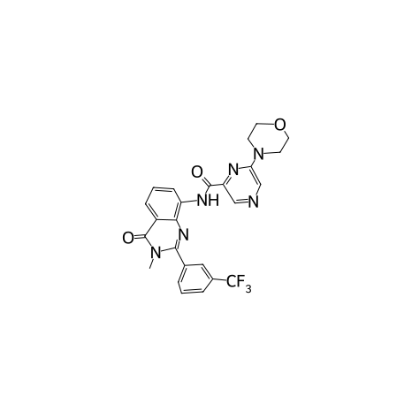 Cn1c(-c2cccc(C(F)(F)F)c2)nc2c(NC(=O)c3cncc(N4CCOCC4)n3)cccc2c1=O